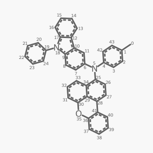 Cc1ccc(N(c2ccc3c(c2)c2ccccc2n3-c2ccccc2)c2ccc3c4c(cccc24)Oc2ccccc2-3)cc1